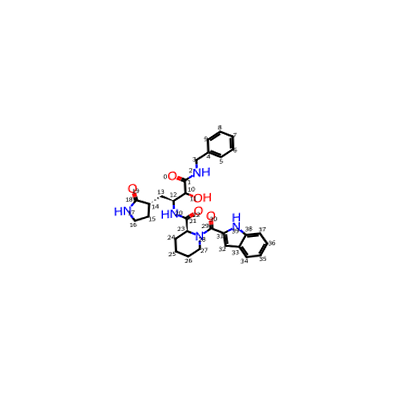 O=C(NCc1ccccc1)C(O)[C@H](C[C@@H]1CCNC1=O)NC(=O)[C@@H]1CCCCN1C(=O)c1cc2ccccc2[nH]1